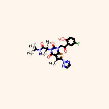 Cc1c(-n2nccn2)sc2c1c(=O)n(C(C)(C)C(=O)NC(C)C)c(=O)n2CC(=O)c1cc(F)ccc1O